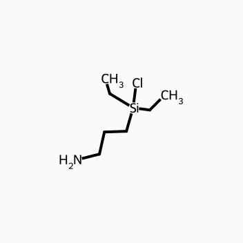 CC[Si](Cl)(CC)CCCN